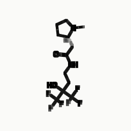 CN1CCC[C@H]1CC(=O)NCCC(O)(C(F)(F)F)C(F)(F)F